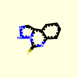 S=c1nc2ccccc2c2cn[nH]n12